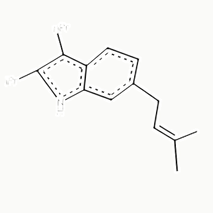 CCCc1c(C(C)C)[nH]c2cc(CC=C(C)C)ccc12